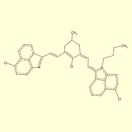 CCCCn1c(=CC=C2CC(C)CC(C=CC3=Nc4ccc(Cl)c5cccc3c45)=C2Cl)c2cccc3c(Cl)ccc1c32